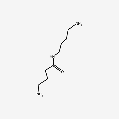 NCCCCNC(=O)CCCN